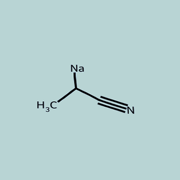 C[CH]([Na])C#N